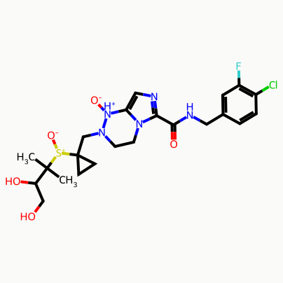 CC(C)(C(O)CO)[S+]([O-])C1(CN2CCn3c(cnc3C(=O)NCc3ccc(Cl)c(F)c3)[NH+]2[O-])CC1